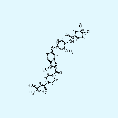 Cc1cc(Oc2ccc3c(c2)cc(C(=O)N2CCN(C(=O)OC(C)(C)C)CC2)n3C)ncc1NC(=O)c1ccc(Cl)c(Cl)c1